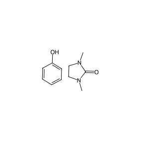 CN1CCN(C)C1=O.Oc1ccccc1